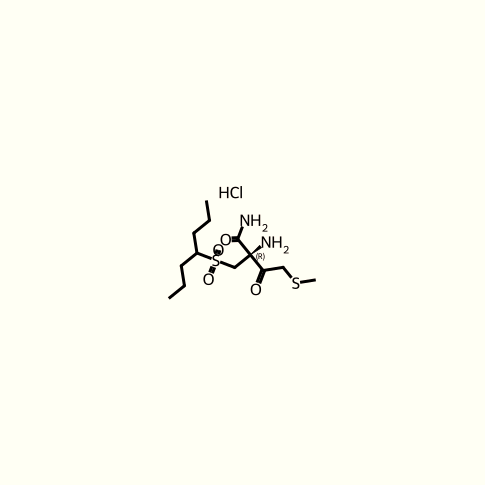 CCCC(CCC)S(=O)(=O)C[C@](N)(C(N)=O)C(=O)CSC.Cl